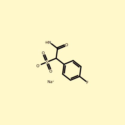 [NH]C(=O)C(c1ccc(F)cc1)S(=O)(=O)[O-].[Na+]